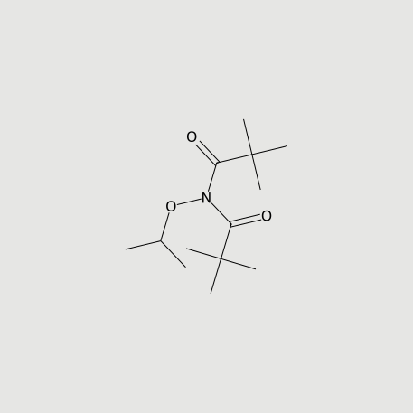 CC(C)ON(C(=O)C(C)(C)C)C(=O)C(C)(C)C